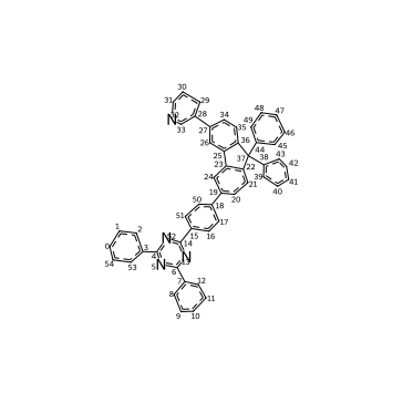 c1ccc(-c2nc(-c3ccccc3)nc(-c3ccc(-c4ccc5c(c4)-c4cc(-c6cccnc6)ccc4C5(c4ccccc4)c4ccccc4)cc3)n2)cc1